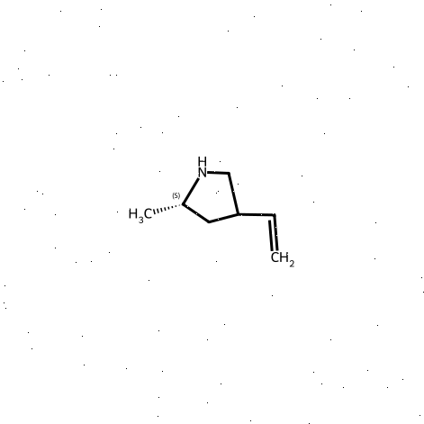 C=CC1CN[C@@H](C)C1